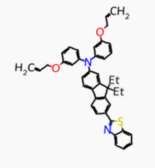 C=CCOc1cccc(N(c2cccc(OCC=C)c2)c2ccc3c(c2)C(CC)(CC)c2cc(-c4nc5ccccc5s4)ccc2-3)c1